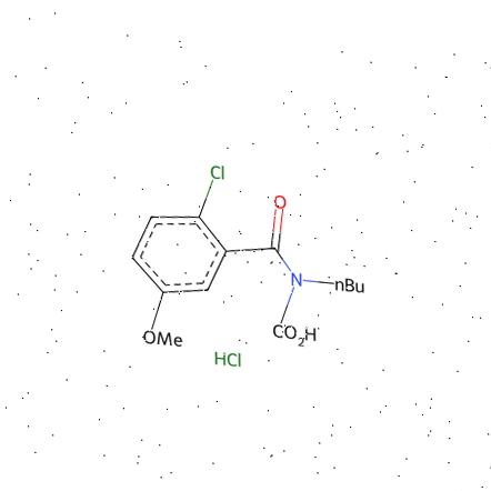 CCCCN(C(=O)O)C(=O)c1cc(OC)ccc1Cl.Cl